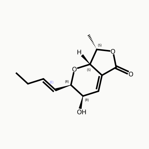 CC/C=C/[C@H]1O[C@H]2C(=C[C@H]1O)C(=O)O[C@H]2C